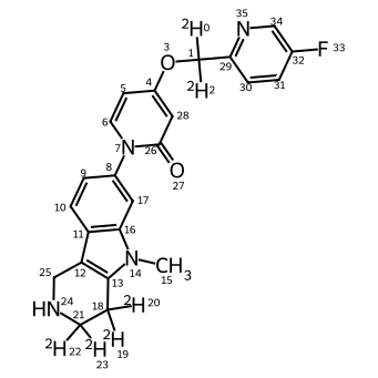 [2H]C([2H])(Oc1ccn(-c2ccc3c4c(n(C)c3c2)C([2H])([2H])C([2H])([2H])NC4)c(=O)c1)c1ccc(F)cn1